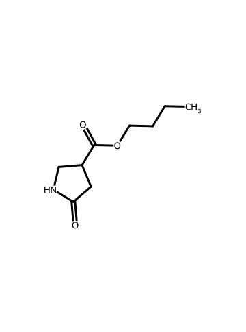 CCCCOC(=O)C1CNC(=O)C1